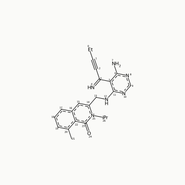 CCC#CC(=N)c1c(N)ncnc1NCc1cc2cccc(C)c2c(=O)n1C(C)C